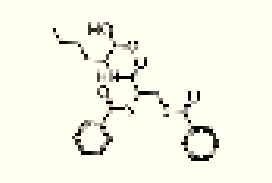 CCCCC(NC(=O)C(CSC(=O)c1ccccc1)SC(=O)c1ccccc1)C(=O)O